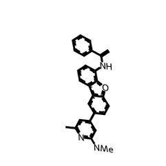 C=C(Nc1cccc2c1oc1ccc(-c3cc(C)nc(NC)c3)cc12)c1ccccc1